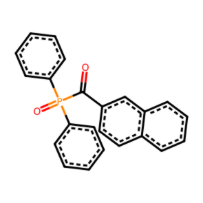 O=C(c1ccc2ccccc2c1)P(=O)(c1ccccc1)c1ccccc1